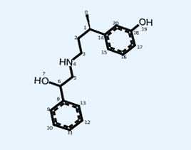 C[C@H](CCNCC(O)c1ccccc1)c1cccc(O)c1